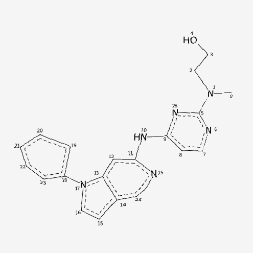 CN(CCO)c1nccc(Nc2cc3c(ccn3-c3ccccc3)cn2)n1